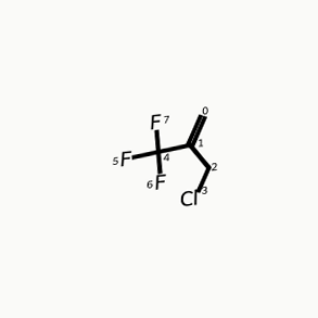 C=C(CCl)C(F)(F)F